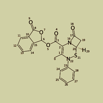 CC1=C(C(=O)OC2OC(=O)c3ccccc32)N2C(=O)C[C@H]2SN1c1ccccc1